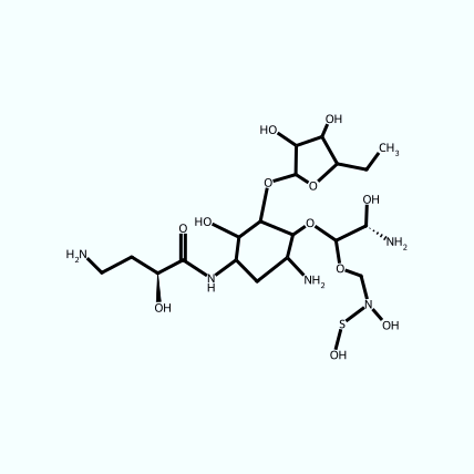 CCC1OC(OC2C(O)C(NC(=O)[C@@H](O)CCN)CC(N)C2OC(OCN(O)SO)[C@@H](N)O)C(O)C1O